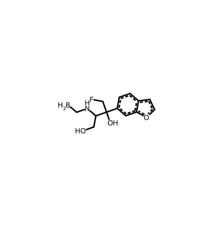 BCNC(CO)C(O)(CF)c1ccc2ccoc2c1